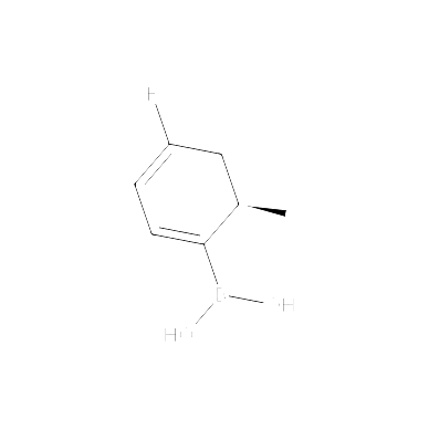 OB(O)C1=CC=C(F)C[C@H]1I